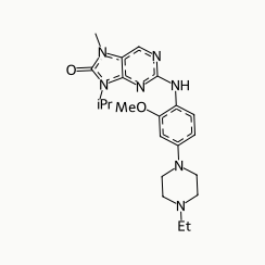 CCN1CCN(c2ccc(Nc3ncc4c(n3)n(C(C)C)c(=O)n4C)c(OC)c2)CC1